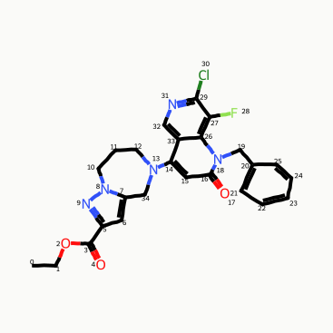 CCOC(=O)c1cc2n(n1)CCCN(c1cc(=O)n(Cc3ccccc3)c3c(F)c(Cl)ncc13)C2